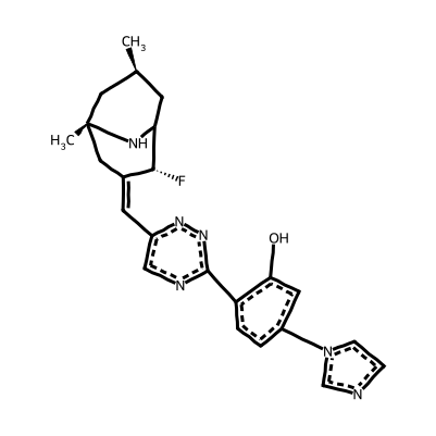 C[C@H]1CC2N[C@](C)(C/C(=C/c3cnc(-c4ccc(-n5ccnc5)cc4O)nn3)[C@H]2F)C1